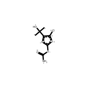 CC(C)(O)c1nc(OC(N)=O)sc1Cl